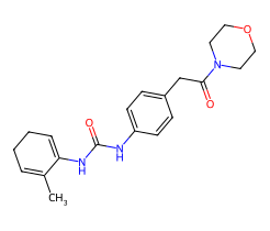 CC1=CCCC=C1NC(=O)Nc1ccc(CC(=O)N2CCOCC2)cc1